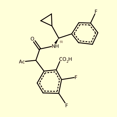 CC(=O)C(C(=O)N[C@H](c1cccc(F)c1)C1CC1)c1ccc(F)c(F)c1C(=O)O